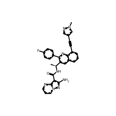 C[C@H](NC(=O)c1c(N)nn2cccnc12)c1cc2cccc(C#Cc3cnn(C)c3)c2nc1-c1ccc(F)cc1